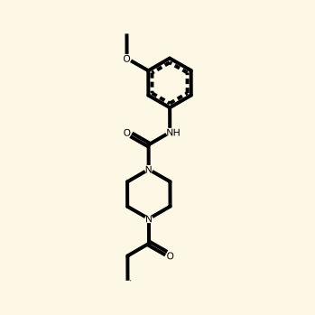 [CH2]CC(=O)N1CCN(C(=O)Nc2cccc(OC)c2)CC1